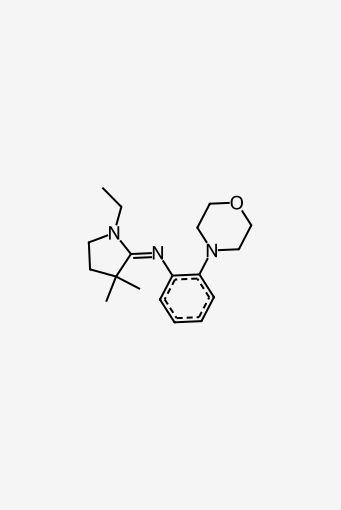 CCN1CCC(C)(C)/C1=N\c1ccccc1N1CCOCC1